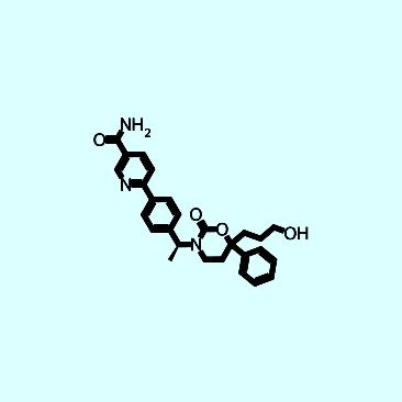 C[C@@H](c1ccc(-c2ccc(C(N)=O)cn2)cc1)N1CCC(CCCO)(c2ccccc2)OC1=O